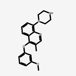 COc1cccc(Oc2c(C)cnc3c(N4CCNCC4)cccc23)c1